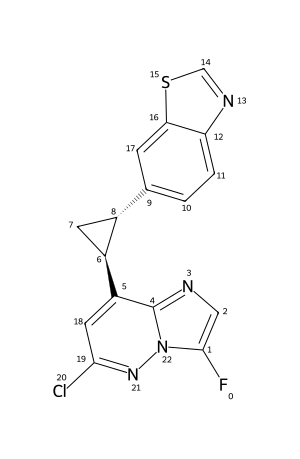 Fc1cnc2c([C@H]3C[C@@H]3c3ccc4ncsc4c3)cc(Cl)nn12